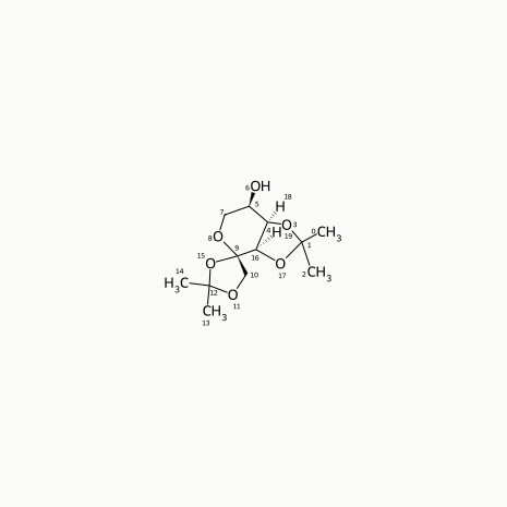 CC1(C)O[C@@H]2[C@H](O)CO[C@]3(COC(C)(C)O3)[C@@H]2O1